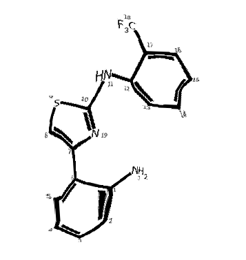 Nc1ccccc1-c1csc(Nc2ccccc2C(F)(F)F)n1